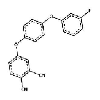 N#Cc1ccc(Oc2ccc(Oc3cccc(F)c3)cc2)cc1C#N